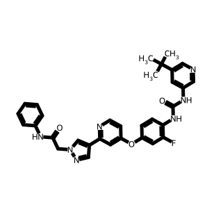 CC(C)(C)c1cncc(NC(=O)Nc2ccc(Oc3ccnc(-c4cnn(CC(=O)Nc5ccccc5)c4)c3)cc2F)c1